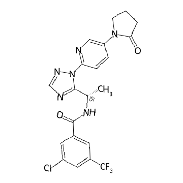 C[C@H](NC(=O)c1cc(Cl)cc(C(F)(F)F)c1)c1ncnn1-c1ccc(N2CCCC2=O)cn1